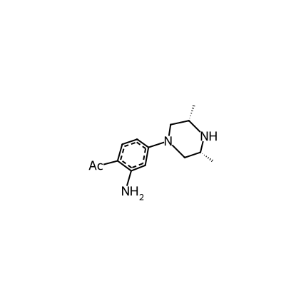 CC(=O)c1ccc(N2C[C@@H](C)N[C@@H](C)C2)cc1N